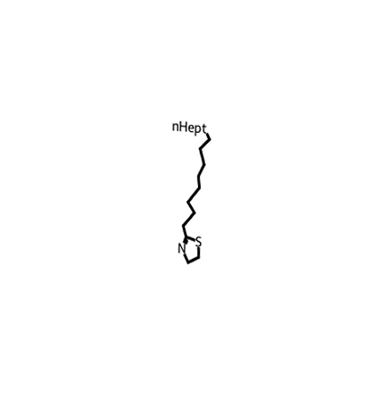 CCCCCCCCCCCCCCCC1=NCCS1